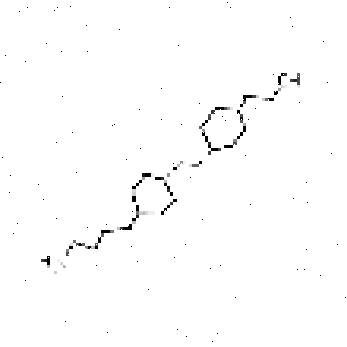 CCCCC[C@H]1CC[C@H](CC[C@H]2CC[C@H](CCC)CC2)CC1